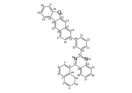 C1=Cc2cccc(-c3nc(-c4cccc(-c5ccc6cc7c(cc6c5)oc5ccccc57)c4)nc4ccccc34)c2CC1